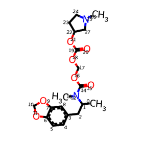 CC(Cc1ccc2c(c1)OCO2)N(C)C(=O)OCOC(=O)OC1CCN(C)C1